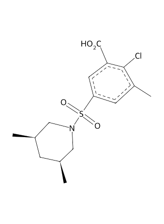 Cc1cc(S(=O)(=O)N2C[C@H](C)C[C@H](C)C2)cc(C(=O)O)c1Cl